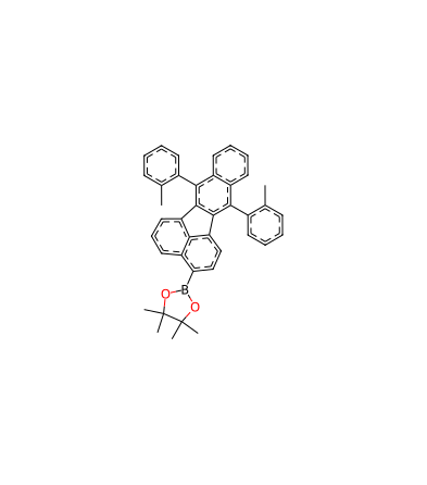 Cc1ccccc1-c1c2c(c(-c3ccccc3C)c3ccccc13)-c1ccc(B3OC(C)(C)C(C)(C)O3)c3cccc-2c13